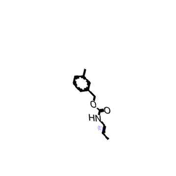 C/C=C/NC(=O)OCc1cccc(C)c1